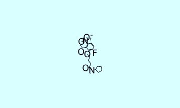 CC(=O)c1c([N+](=O)[O-])ccc(F)c1OCCCC(=O)N(C)C1CCCC1